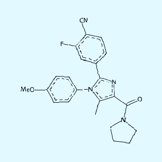 COc1ccc(-n2c(-c3ccc(C#N)c(F)c3)nc(C(=O)N3CCCC3)c2C)cc1